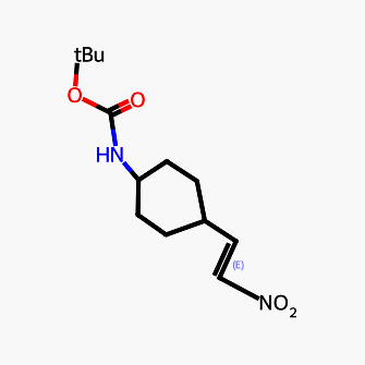 CC(C)(C)OC(=O)NC1CCC(/C=C/[N+](=O)[O-])CC1